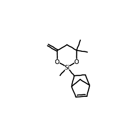 C=C1CC(C)(C)O[Si](C)(C2CC3C=CC2C3)O1